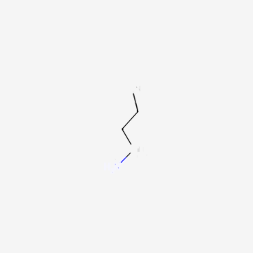 N#CCC[SiH2]N